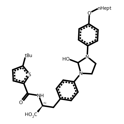 CCCCCCCOc1ccc(N2CCN(c3ccc(C[C@H](NC(=O)c4ccc(C(C)(C)C)s4)C(=O)O)cc3)C2O)cc1